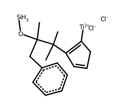 CC(Cc1ccccc1)(O[SiH3])C(C)(C)C1=[C]([Ti+2])CC=C1.[Cl-].[Cl-]